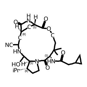 CC(C)[C@H]1CCN2C(=O)[C@@H](NC(=O)CC3CC3)C(C)(C)CCOC(=O)[C@@H]3C[C@@H](CC(C#N)NC(O)[C@H]12)C(=O)N3